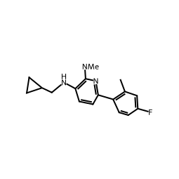 CNc1nc(-c2ccc(F)cc2C)ccc1NCC1CC1